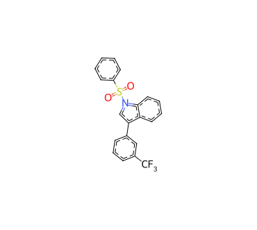 O=S(=O)(c1ccccc1)n1cc(-c2cccc(C(F)(F)F)c2)c2ccccc21